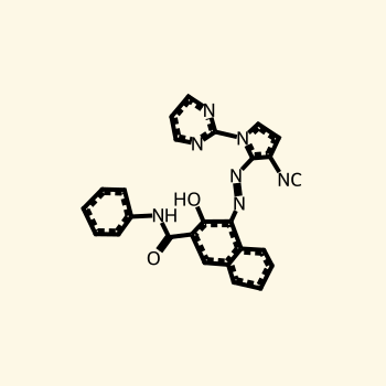 [C-]#[N+]c1ccn(-c2ncccn2)c1/N=N/c1c(O)c(C(=O)Nc2ccccc2)cc2ccccc12